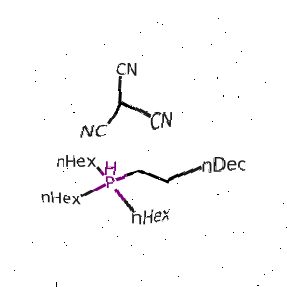 CCCCCCCCCCCC[PH](CCCCCC)(CCCCCC)CCCCCC.N#CC(C#N)C#N